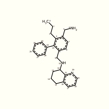 CCCc1c(CN)ccc(CNC2CCCc3cccnc32)c1-c1ccccc1